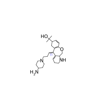 CC(C)(O)C1C=CC2=C(C1)/C(=C/CCN1CCC(N)CC1)C1=CCCNC1CO2